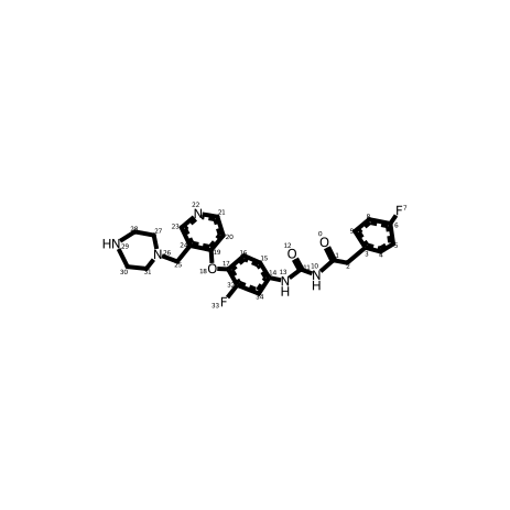 O=C(Cc1ccc(F)cc1)NC(=O)Nc1ccc(Oc2ccncc2CN2CCNCC2)c(F)c1